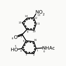 CC(=O)Nc1ccc(O)c(C(=O)c2ccc([N+](=O)[O-])cc2)c1